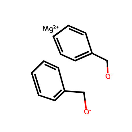 [Mg+2].[O-]Cc1ccccc1.[O-]Cc1ccccc1